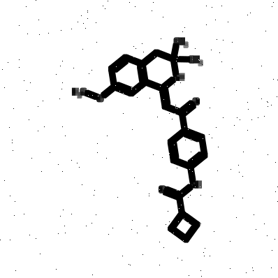 COc1ccc2c(c1)C(=CC(=O)c1ccc(NC(=O)C3CCC3)cc1)NC(C)(C)C2